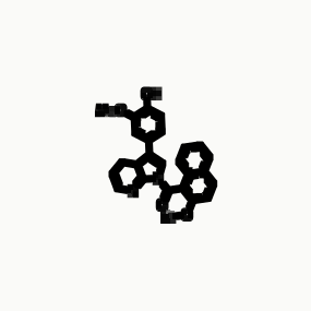 CCOc1ccc2ccccc2c1C(=O)N1C=C(c2ccc(O)c(OC)c2)C2CC=CN=C21